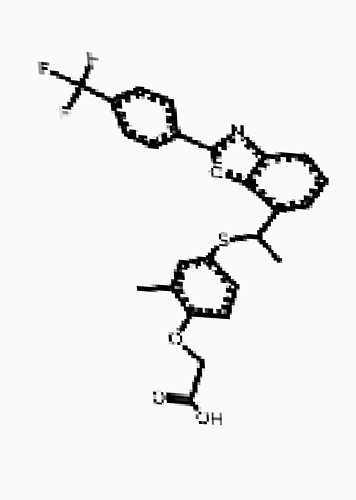 Cc1cc(SC(C)c2cccc3nc(-c4ccc(C(F)(F)F)cc4)oc23)ccc1OCC(=O)O